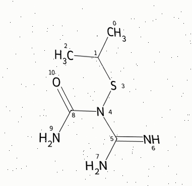 CC(C)SN(C(=N)N)C(N)=O